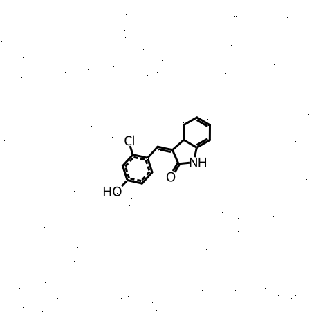 O=C1NC2=CC=CCC2C1=Cc1ccc(O)cc1Cl